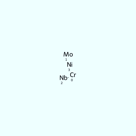 [Cr].[Mo].[Nb].[Ni]